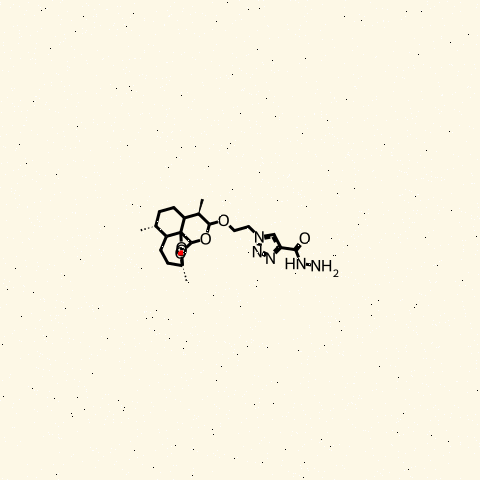 C[C@H]1C(OCCn2cc(C(=O)NN)nn2)OC2O[C@]3(C)CCC4[C@H](C)CCC1C24OO3